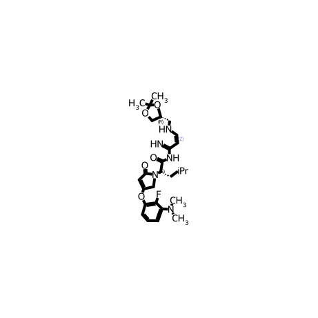 CC(C)C[C@@H](C(=O)NC(=N)/C=C\NC[C@@H]1COC(C)(C)O1)N1CC(Oc2cccc(N(C)C)c2F)=CC1=O